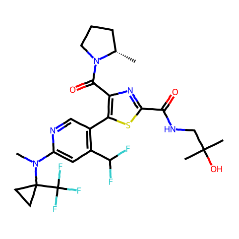 C[C@H]1CCCN1C(=O)c1nc(C(=O)NCC(C)(C)O)sc1-c1cnc(N(C)C2(C(F)(F)F)CC2)cc1C(F)F